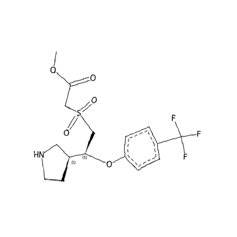 COC(=O)CS(=O)(=O)C[C@@H](Oc1ccc(C(F)(F)F)cc1)[C@H]1CCNC1